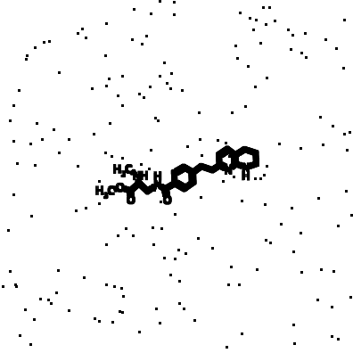 CNC(CNC(=O)c1ccc(CCc2ccc3c(n2)NCCC3)cc1)C(=O)OC